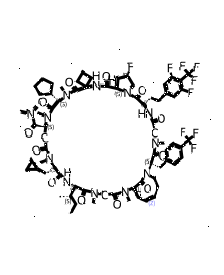 CC[C@H](C)[C@@H]1NC(=O)[C@H](CC2CC2)N(C)C(=O)C[C@@H](C(=O)N(C)C)N(C)C(=O)[C@H](C2CCCC2)N(C)C(=O)C2(CCC2)NC(=O)[C@@H]2C[C@@H](F)CN2C(=O)[C@H](CCc2cc(F)c(C(F)(F)F)c(F)c2)NC(=O)CN(C)C(=O)[C@H](Cc2ccc(C(F)(F)F)cc2)N2CC/C=C\C[C@@H](C2=O)N(C)C(=O)CN(C)C1=O